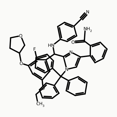 CCOc1cc(OC2CCOC2)c(F)c(C(Nc2ccc(C#N)cc2)c2nc(-c3ccccc3C(N)=O)cn2C(c2ccccc2)(c2ccccc2)c2ccccc2)c1